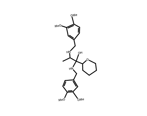 COc1ccc(CNC(C)C(O)(NCc2ccc(OC)c(OC)c2)C2CCCCO2)cc1OC